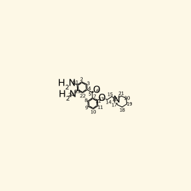 Nc1ccc(C(=O)c2ccccc2OCCN2CCCCC2)cc1N